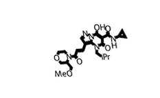 COCC1COCCN1C(=O)C=Cc1cnn2c(O)c(C(=O)NC3CC3)c(=O)n(CC(C)C)c12